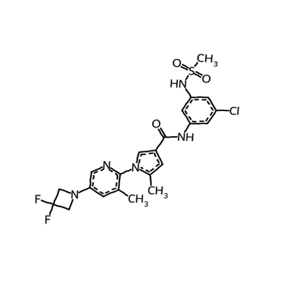 Cc1cc(N2CC(F)(F)C2)cnc1-n1cc(C(=O)Nc2cc(Cl)cc(NS(C)(=O)=O)c2)cc1C